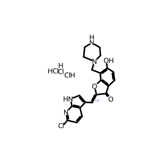 Cl.Cl.Cl.O=C1/C(=C/c2c[nH]c3nc(Cl)ccc23)Oc2c1ccc(O)c2CN1CCNCC1